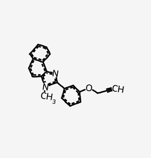 C#CCOc1cccc(-c2nc3c4ccccc4ccc3n2C)c1